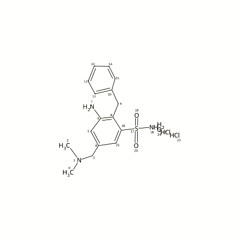 CN(C)Cc1cc(N)c(Cc2ccccc2)c(S(N)(=O)=O)c1.Cl.Cl.O